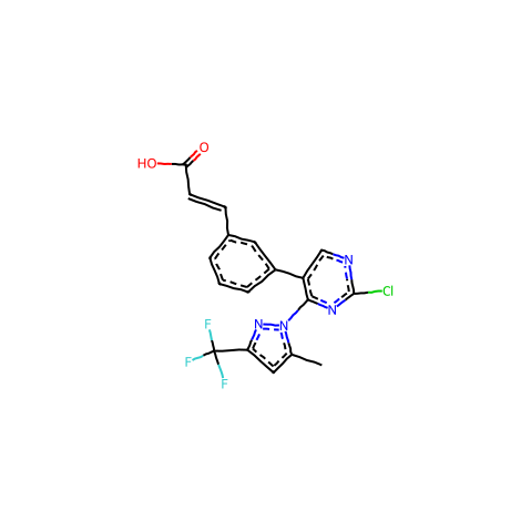 Cc1cc(C(F)(F)F)nn1-c1nc(Cl)ncc1-c1cccc(C=CC(=O)O)c1